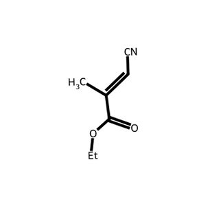 CCOC(=O)/C(C)=C/C#N